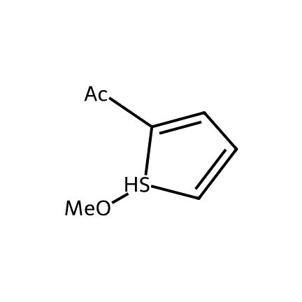 CO[SH]1C=CC=C1C(C)=O